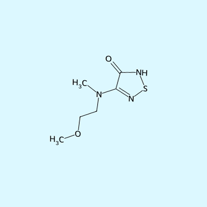 COCCN(C)c1ns[nH]c1=O